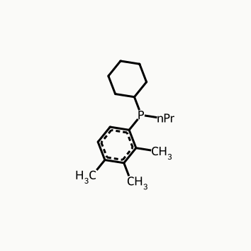 CCCP(c1ccc(C)c(C)c1C)C1CCCCC1